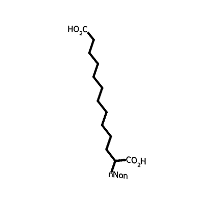 CCCCCCCCCC(CCCCCCCCCCC(=O)O)C(=O)O